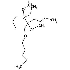 CCCCCOC1CCC[Si](OC)(OC)C1(CCCC)OC